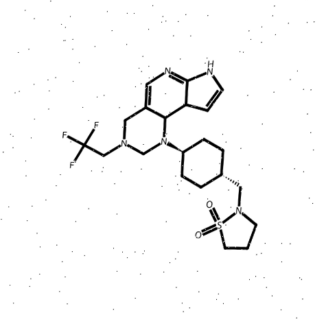 O=S1(=O)CCCN1C[C@H]1CC[C@H](N2CN(CC(F)(F)F)CC3=CN=C4NC=CC4C32)CC1